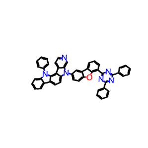 c1ccc(-c2nc(-c3ccccc3)nc(-c3cccc4c3oc3ccc(-n5c6cnccc6c6c5ccc5c7ccccc7n(-c7ccccc7)c56)cc34)n2)cc1